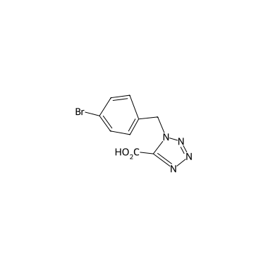 O=C(O)c1nnnn1Cc1ccc(Br)cc1